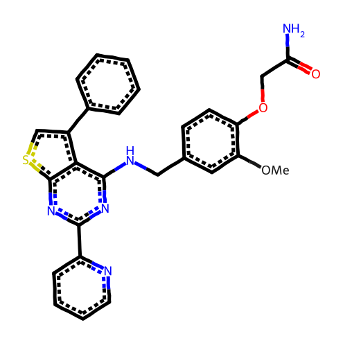 COc1cc(CNc2nc(-c3ccccn3)nc3scc(-c4ccccc4)c23)ccc1OCC(N)=O